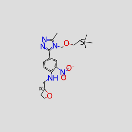 Cc1nnc(-c2ccc(NC[C@@H]3CCO3)c([N+](=O)[O-])c2)n1COCC[Si](C)(C)C